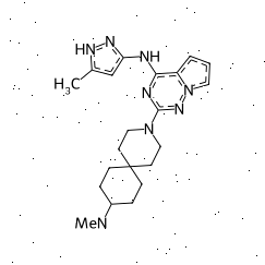 CNC1CCC2(CC1)CCN(c1nc(Nc3cc(C)[nH]n3)c3cccn3n1)CC2